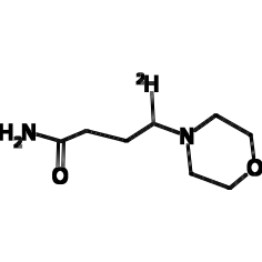 [2H]C(CCC(N)=O)N1CCOCC1